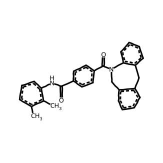 Cc1cccc(NC(=O)c2ccc(C(=O)N3Cc4ccccc4Cc4ccccc43)cc2)c1C